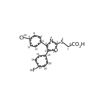 O=C(O)CSc1nc(-c2ccc(Cl)cc2)c(-c2ccc(F)cc2)o1